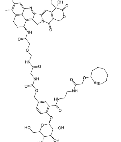 CC[C@@]1(O)C(=O)OCc2c1cc1n(c2=O)Cc2c-1nc1cc(F)c(C)c3c1c2[C@@H](NC(=O)COCNC(=O)CNC(=O)OCc1ccc(O[C@@H]2OC(CO)[C@@H](O)[C@H](O)[C@H]2O)c(C(=O)NCCNC(=O)COC2C#CCCCCC2)c1)CC3